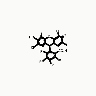 O=C1C(I)=CC2C(=C1Cl)Oc1c(cc(Cl)c(O)c1I)C2c1c(Br)c(Br)c(Br)c(Br)c1C(=O)O